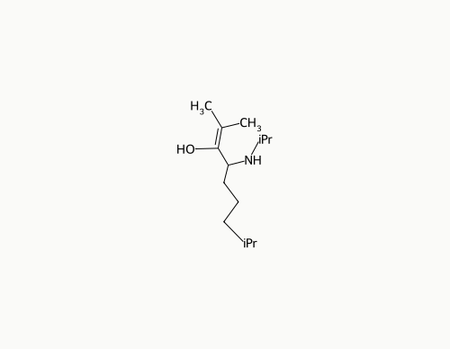 CC(C)=C(O)C(CCCC(C)C)NC(C)C